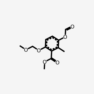 COCOc1ccc(OC=O)c(C)c1C(=O)OC